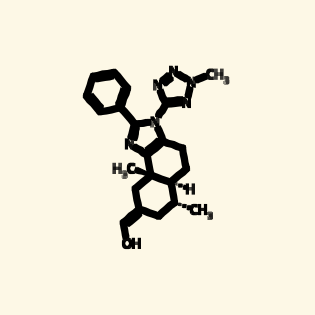 C[C@@H]1C/C(=C\O)C[C@]2(C)c3nc(-c4ccccc4)n(-c4nnn(C)n4)c3CC[C@@H]12